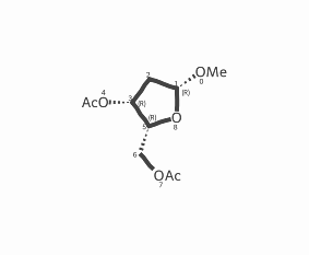 CO[C@H]1C[C@@H](OC(C)=O)[C@@H](COC(C)=O)O1